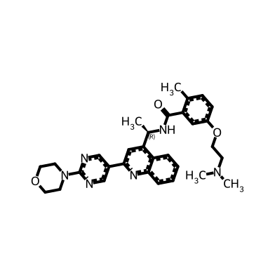 Cc1ccc(OCCN(C)C)cc1C(=O)N[C@H](C)c1cc(-c2cnc(N3CCOCC3)nc2)nc2ccccc12